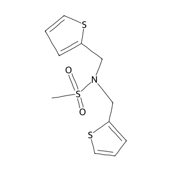 CS(=O)(=O)N(Cc1cccs1)Cc1cccs1